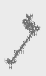 Cc1ccccc1N(CC(=O)NCCCOCCOCCOCCCNC(=O)CCCC[C@H]1SCC2NC(=O)NC21)C(=O)CNC(=O)[C@H](CCC(=O)C=N)N(C(=O)CN)c1ccccc1C